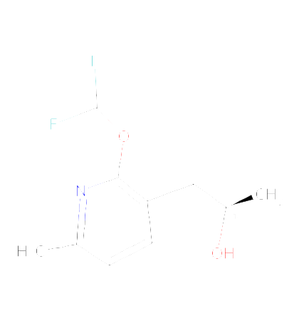 [CH2][C@@H](O)Cc1ccc(C)nc1OC(F)F